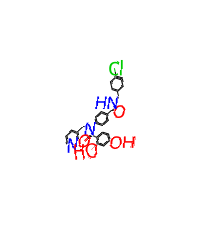 O=C(NCc1ccc(Cl)cc1)c1ccc(N(Cc2cccnc2)C(=O)c2ccc(O)cc2O)cc1